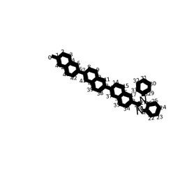 Cc1ccc2cc(-c3ccc4cc(-c5ccc6cc(-c7nc8ccccc8n7-c7ccccc7)ccc6c5)ccc4c3)ccc2c1